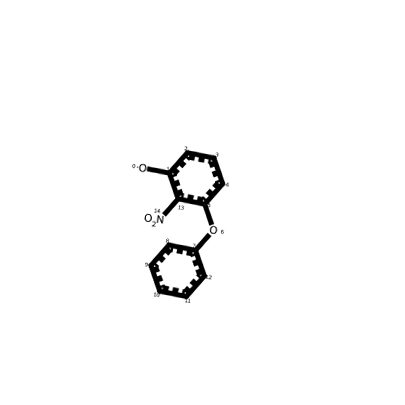 [O]c1cccc(Oc2ccccc2)c1[N+](=O)[O-]